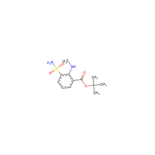 CNc1c(C(=O)OC(C)(C)C)cccc1S(N)(=O)=O